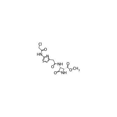 COC(=O)[C@@H]1NC(=O)[C@@H]1NC(=O)Cc1csc(NC(=O)CCl)n1